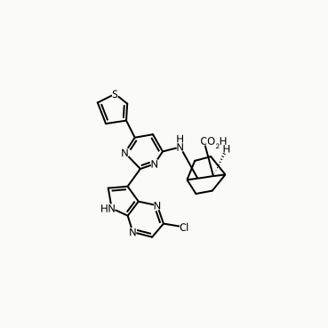 O=C(O)[C@H]1C2CCC(CC2)C1Nc1cc(-c2ccsc2)nc(-c2c[nH]c3ncc(Cl)nc23)n1